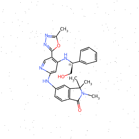 Cc1nnc(-c2cnc(Nc3ccc4c(c3)C(C)(C)N(C)C4=O)cc2N[C@H](CO)c2ccccc2)o1